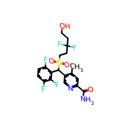 Cc1cc(C(N)=O)ncc1C(c1c(F)ccc(F)c1F)S(=O)(=O)CCC(F)(F)CCO